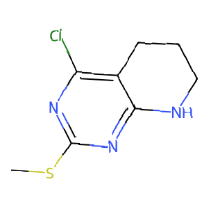 CSc1nc(Cl)c2c(n1)NCCC2